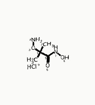 CC(C)(ON)C(=O)NO.Cl